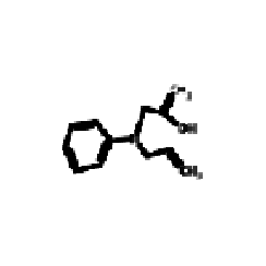 C=CCN(CC(=C)O)c1ccccc1